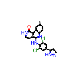 Cc1ccc2nc(Nc3c(Cl)cc(-c4ccn[nH]4)cc3Cl)c3cc[nH]c(=O)c3c2c1